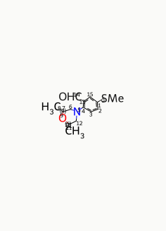 CSc1ccc(N2C[C@@H](C)O[C@@H](C)C2)c(C=O)c1